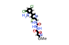 COC1=NOC(C(=O)NNC(=O)NCc2ncc(-c3cc(Cl)cc(Cl)c3N)cc2F)C1